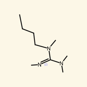 CCCCN(C)/C(=N\C)N(C)C